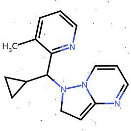 Cc1cccnc1C(C1CC1)N1CC=C2N=CC=CN21